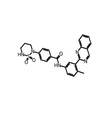 Cc1ccc(NC(=O)c2ccc(N3CCCNS3(=O)=O)cc2)cc1-c1ncc2ccccc2n1